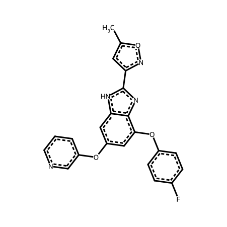 Cc1cc(-c2nc3c(Oc4ccc(F)cc4)cc(Oc4cccnc4)cc3[nH]2)no1